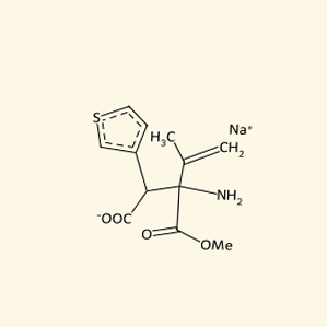 C=C(C)C(N)(C(=O)OC)C(C(=O)[O-])c1ccsc1.[Na+]